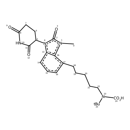 Cn1c(=O)n(C2CCC(=O)NC2=O)c2cccc(CCCCCN(C(=O)O)C(C)(C)C)c21